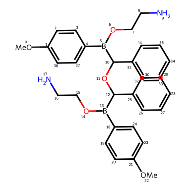 COc1ccc(B(OCCN)C(OC(B(OCCN)c2ccc(OC)cc2)c2ccccc2)c2ccccc2)cc1